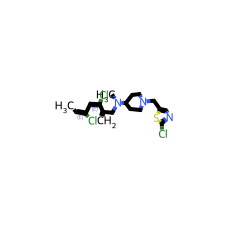 C=C(CN(C)C1CCN(Cc2cnc(Cl)s2)CC1)/C(Cl)=C\C(Cl)=C/C